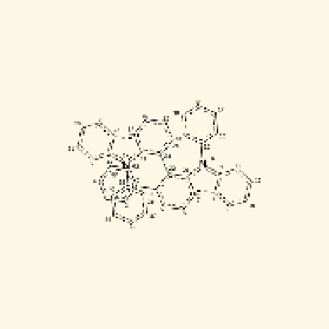 c1ccc(-c2ccc3c4ccccc4n(-c4ccccc4)c3c2-c2cccc3c4ccccc4n(-c4ccccc4)c23)cc1